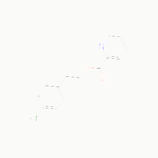 O=C(OCCc1ccc(Cl)cc1)c1ccccn1